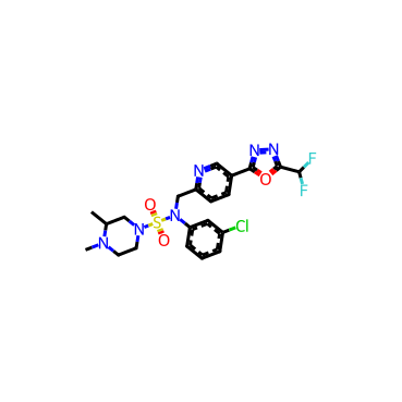 CC1CN(S(=O)(=O)N(Cc2ccc(-c3nnc(C(F)F)o3)cn2)c2cccc(Cl)c2)CCN1C